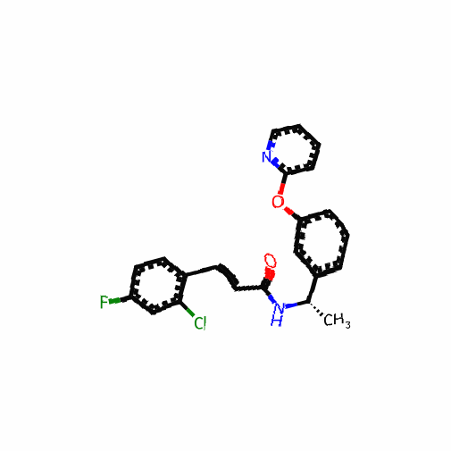 C[C@H](NC(=O)/C=C/c1ccc(F)cc1Cl)c1cccc(Oc2ccccn2)c1